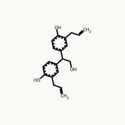 C=CCc1cc(C(CO)c2ccc(O)c(CC=C)c2)ccc1O